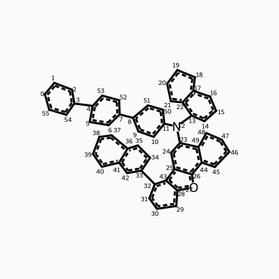 c1ccc(-c2ccc(-c3ccc(N(c4cccc5ccccc45)c4cc5c(oc6cccc(-c7ccc8ccccc8c7)c65)c5ccccc45)cc3)cc2)cc1